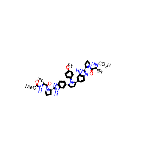 CCOc1ccc(N2[C@@H](c3ccc4nc([C@@H]5CCCN5C(=O)[C@@H](NC(=O)O)C(C)C)[nH]c4c3)CC[C@@H]2c2ccc3nc([C@@H]4CCCN4C(=O)[C@@H](NC(=O)OC)C(C)C)[nH]c3c2)cc1